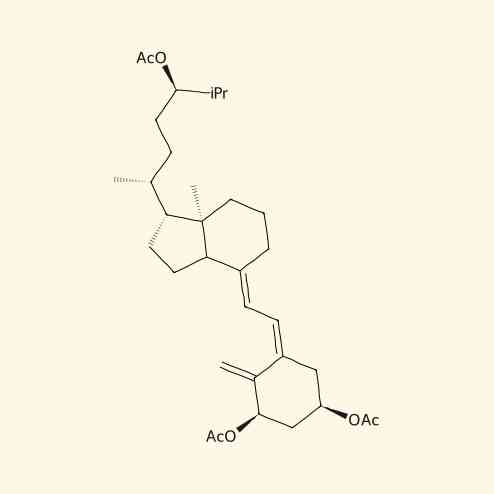 C=C1/C(=C\C=C2CCC[C@@]3(C)C2CC[C@@H]3[C@H](C)CC[C@@H](OC(C)=O)C(C)C)C[C@@H](OC(C)=O)C[C@H]1OC(C)=O